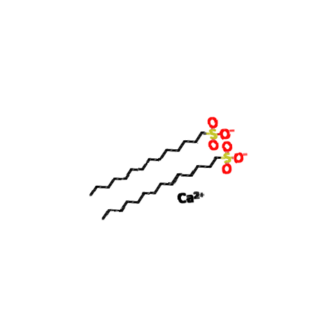 CCCCCCCCCCCCCCS(=O)(=O)[O-].CCCCCCCCCCCCCCS(=O)(=O)[O-].[Ca+2]